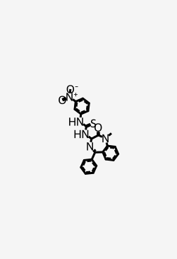 CN1C(=O)C(NC(=S)Nc2cccc([N+](=O)[O-])c2)N=C(c2ccccc2)c2ccccc21